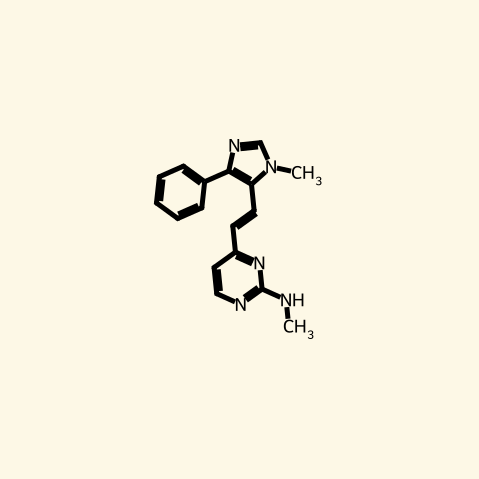 CNc1nccc(/C=C/c2c(-c3ccccc3)ncn2C)n1